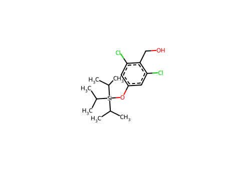 CC(C)[Si](Oc1cc(Cl)c(CO)c(Cl)c1)(C(C)C)C(C)C